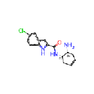 N[C@@H]1CC=CC[C@@H]1NC(=O)c1cc2cc(Cl)ccc2[nH]1